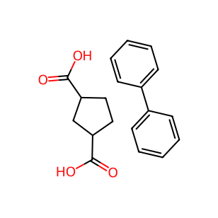 O=C(O)C1CCC(C(=O)O)C1.c1ccc(-c2ccccc2)cc1